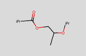 CC(C)OC(C)COC(=O)C(C)C